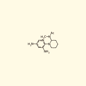 CC(=O)N(C)C1CCCCN1c1ncc(N)cc1N